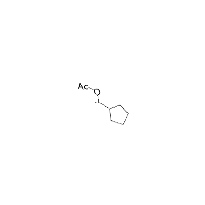 CC(=O)O[CH]C1CCCC1